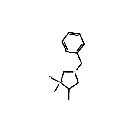 CC1CN(Cc2ccccc2)C[N+]1(C)[O-]